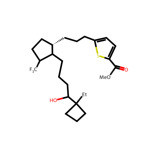 CCC1(C(O)CCCC2C(C(F)(F)F)CC[C@@H]2CCCc2ccc(C(=O)OC)s2)CCC1